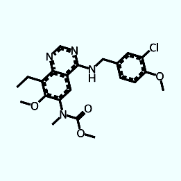 CCc1c(OC)c(N(C)C(=O)OC)cc2c(NCc3ccc(OC)c(Cl)c3)ncnc12